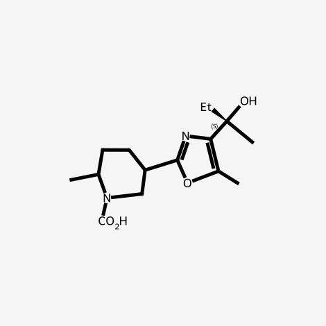 CC[C@](C)(O)c1nc(C2CCC(C)N(C(=O)O)C2)oc1C